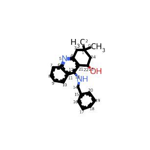 CC1(C)Cc2nc3ccccc3c(NCc3ccccc3)c2C(O)C1